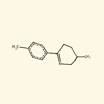 Cc1ccc(C2=NCC(C)CC2)cc1